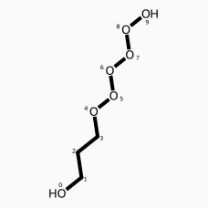 OCCCOOOOOO